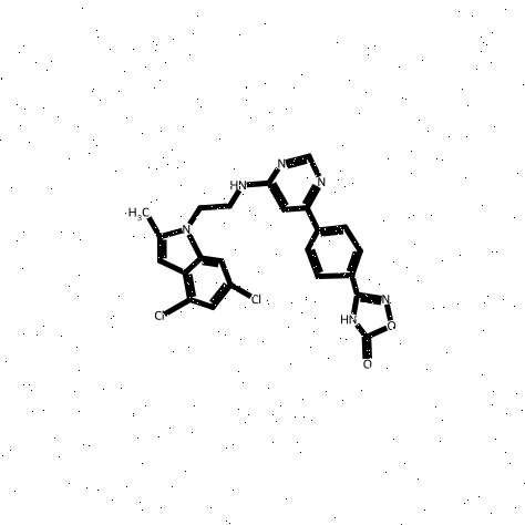 Cc1cc2c(Cl)cc(Cl)cc2n1CCNc1cc(-c2ccc(-c3noc(=O)[nH]3)cc2)ncn1